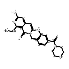 CCCCNc1nc(N)nc2ccn(Cc3ccc(C(=O)N4CCNCC4)cc3OC)c(=O)c12